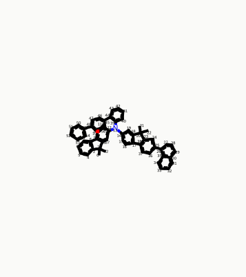 CC1(C)c2ccccc2-c2ccc(N(c3ccc4c(c3)C(C)(C)c3cc(-c5cccc6ccccc56)ccc3-4)c3ccccc3-c3ccc(-c4ccccc4)cc3)cc21